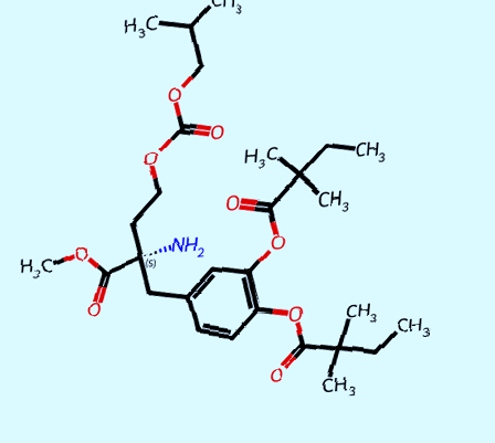 CCC(C)(C)C(=O)Oc1ccc(C[C@](N)(CCOC(=O)OCC(C)C)C(=O)OC)cc1OC(=O)C(C)(C)CC